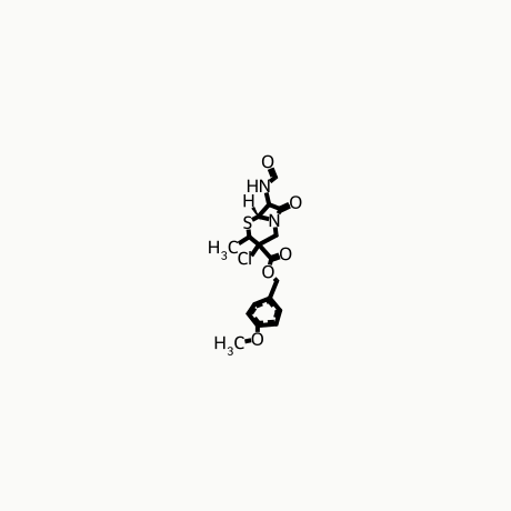 COc1ccc(COC(=O)C2(Cl)CN3C(=O)C(NC=O)[C@H]3SC2C)cc1